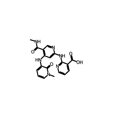 CNC(=O)c1cnc(Nc2ncccc2C(=O)O)cc1Nc1cccn(C)c1=O